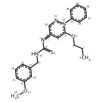 CCCOc1c/c(=N\C(=S)NCc2cccc(OC)c2)cnn1-c1ccccc1